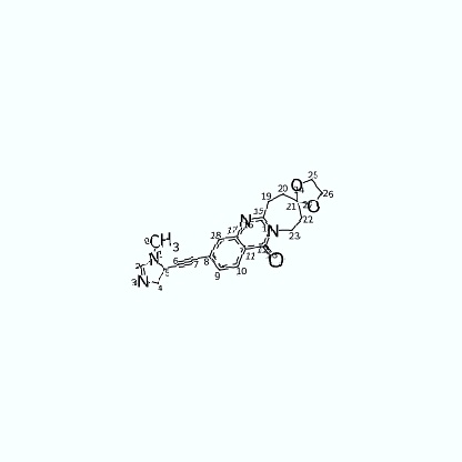 CN1C=NCC1C#Cc1ccc2c(=O)n3c(nc2c1)CCC1(CC3)OCCO1